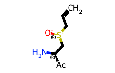 C=CC[S@+]([O-])C[C@H](N)C(C)=O